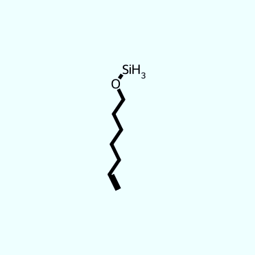 C=CCCCCCO[SiH3]